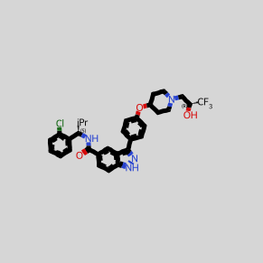 CC(C)[C@H](NC(=O)c1ccc2[nH]nc(-c3ccc(OC4CCN(C[C@@H](O)C(F)(F)F)CC4)cc3)c2c1)c1ccccc1Cl